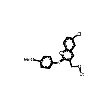 CCOCc1cc2cc(Cl)ccc2o/c1=N\c1ccc(OC)cc1